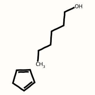 C1=CCC=C1.CCCCCCO